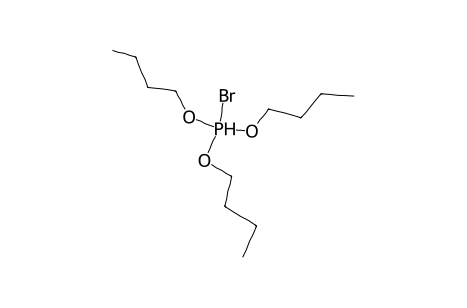 CCCCO[PH](Br)(OCCCC)OCCCC